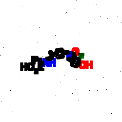 CC(CCN[C@@H](C(=O)O)C(C)C)C1CCC(CN2Cc3ccc(O)c(F)c3C2=O)CC1